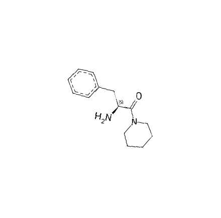 N[C@@H](Cc1ccccc1)C(=O)N1CCCCC1